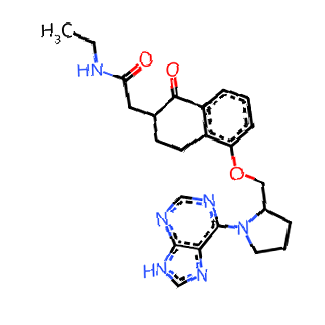 CCNC(=O)CC1CCc2c(OCC3CCCN3c3ncnc4[nH]cnc34)cccc2C1=O